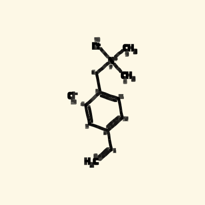 C=Cc1ccc(C[N+](C)(C)CC)cc1.[Cl-]